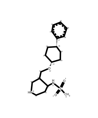 CS(=O)(=O)NC1CCNCC1CO[C@H]1CC[C@@H](c2ccccc2)CC1